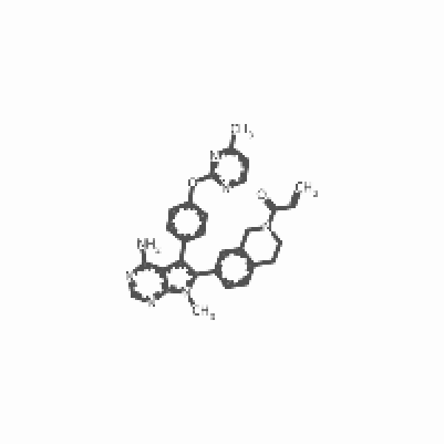 C=CC(=O)N1CCc2ccc(-c3c(-c4ccc(Oc5nccc(C)n5)cc4)c4c(N)ncnc4n3C)cc2C1